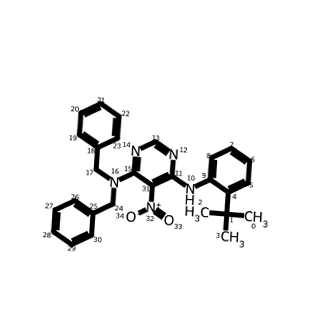 CC(C)(C)c1cc[c]cc1Nc1ncnc(N(Cc2ccccc2)Cc2ccccc2)c1[N+](=O)[O-]